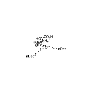 CCCCCCCCCCCCCCCCOCC(COP(=O)(O)O)OCCCCCCCCCCCCCCCC.NC(CO)C(=O)O